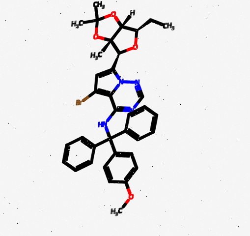 CC[C@H]1O[C@@H](c2cc(Br)c3c(NC(c4ccccc4)(c4ccccc4)c4ccc(OC)cc4)ncnn23)[C@]2(C)OC(C)(C)O[C@H]12